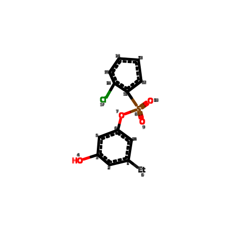 CCc1cc(O)cc(OS(=O)(=O)c2ccccc2Cl)c1